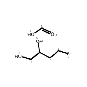 O=CO.OCC(O)CCBr